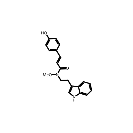 CON(CCc1c[nH]c2ccccc12)C(=O)/C=C/c1ccc(O)cc1